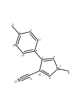 Cc1ccc(-c2cn(C)cc2C#N)cc1